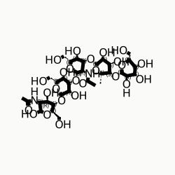 CC(=O)N[C@H]1[C@H](O[C@H]2[C@@H](O)[C@@H](CO)O[C@@H](O[C@H]3[C@H](O)[C@@H](NC(C)=O)C(O)O[C@@H]3CO)[C@@H]2O)O[C@H](CO)[C@@H](O)[C@@H]1O[C@@H]1O[C@@H](C)[C@@H](O[C@@H]2O[C@H](CO)[C@H](O)[C@H](O)[C@H]2O)[C@@H](O)[C@@H]1O